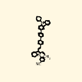 C/C=C\c1c(/C=C/c2ccc(-c3ccc(-c4ccc5c(c4)c4ccccc4n5-c4ccccc4)cc3)cc2)c2ccccc2n1-c1cccc(C#N)c1